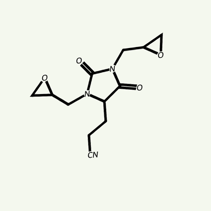 N#CCCC1C(=O)N(CC2CO2)C(=O)N1CC1CO1